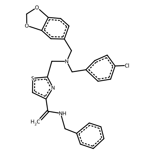 C=C(NCc1ccccc1)c1csc(CN(Cc2ccc(Cl)cc2)Cc2ccc3c(c2)OCO3)n1